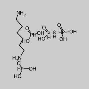 NCCCCCCN.O=[PH](O)O.O=[PH](O)O.O=[PH](O)O.O=[PH](O)O